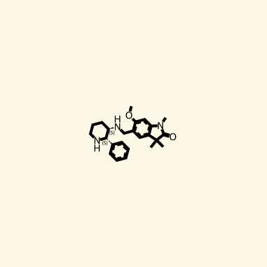 COc1cc2c(cc1CN[C@H]1CCCN[C@H]1c1ccccc1)C(C)(C)C(=O)N2C